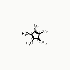 CCCC1=C(CCC)C(C)=C(C)C1=[SiH2]